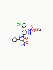 CN(C)C(=O)c1cc(-c2ccccc2)nn([C@H]2CC[C@](CNC(=O)OC(C)(C)C)(c3cccc(Cl)c3)CC2)c1=O